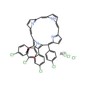 Clc1ccc(-c2c(-c3ccc(Cl)cc3)c3c(-c4ccc(Cl)cc4)c4nc(cc5ccc(cc6nc(cc2n3-c2ccc(Cl)cc2)C=C6)[nH]5)C=C4)cc1.[Al+3].[Cl-].[Cl-].[Cl-]